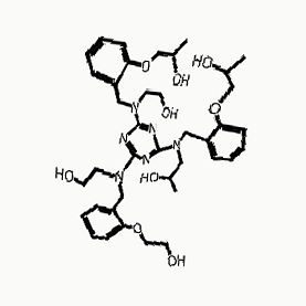 CC(O)COc1ccccc1CN(CCO)c1nc(N(CCO)Cc2ccccc2OCCO)nc(N(Cc2ccccc2OCC(C)O)CC(C)O)n1